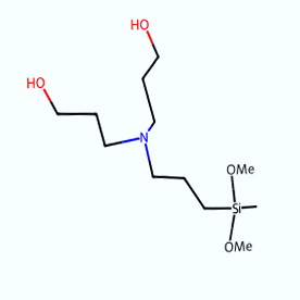 CO[Si](C)(CCCN(CCCO)CCCO)OC